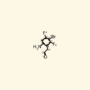 Nc1cc(F)c(Br)c(F)c1CC=O